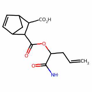 C=CCC(OC(=O)C1C2C=CC(C2)C1C(=O)O)C([NH])=O